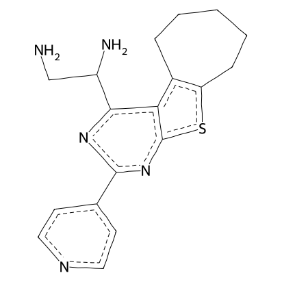 NCC(N)c1nc(-c2ccncc2)nc2sc3c(c12)CCCCC3